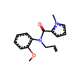 C=CCN(C(=O)c1cccn1C)c1ccccc1OC